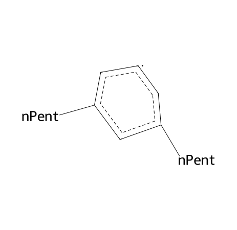 CCCCCc1c[c]cc(CCCCC)c1